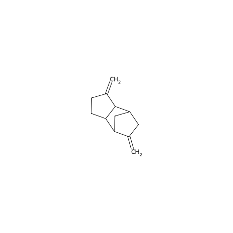 C=C1CC2CC1C1CCC(=C)C21